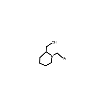 C[C](C)CN1CCCCC1CO